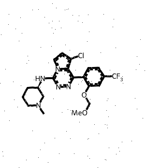 COCOc1cc(C(F)(F)F)ccc1-c1nnc(N[C@@H]2CCCN(C)C2)n2ccc(Cl)c12